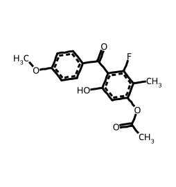 COc1ccc(C(=O)c2c(O)cc(OC(C)=O)c(C)c2F)cc1